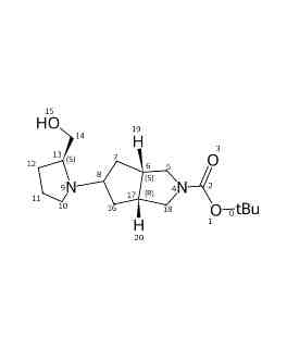 CC(C)(C)OC(=O)N1C[C@H]2CC(N3CCC[C@H]3CO)C[C@H]2C1